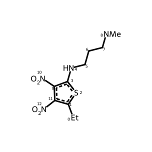 CCc1sc(NCCCNC)c([N+](=O)[O-])c1[N+](=O)[O-]